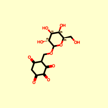 O=C1CC(=O)C(COC2O[C@H](CO)[C@H](O)[C@H](O)[C@H]2O)C(=O)C1=O